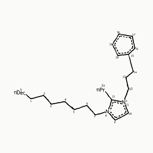 CCCCCCCCCCCCCCCCCn1cc[n+](CCCc2ccccc2)c1CCC